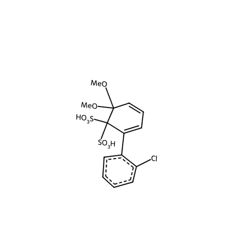 COC1(OC)C=CC=C(c2ccccc2Cl)C1(S(=O)(=O)O)S(=O)(=O)O